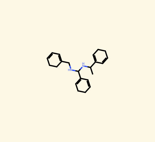 CC(NC(NCC1=CC=CCC1)C1=CCCC=C1)C1=CCCC=C1